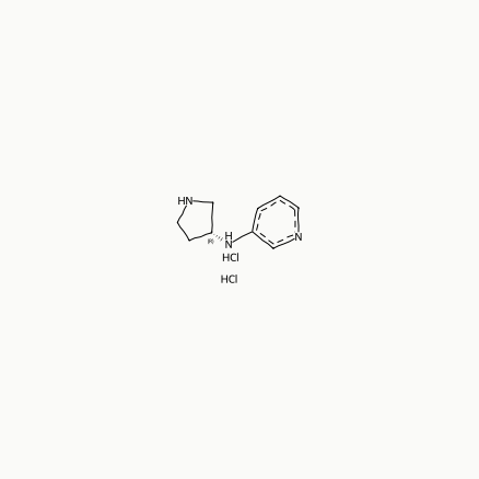 Cl.Cl.c1cncc(N[C@@H]2CCNC2)c1